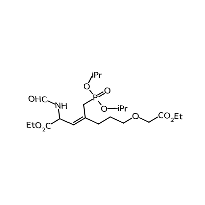 CCOC(=O)COCCCC(=CC(NC=O)C(=O)OCC)CP(=O)(OC(C)C)OC(C)C